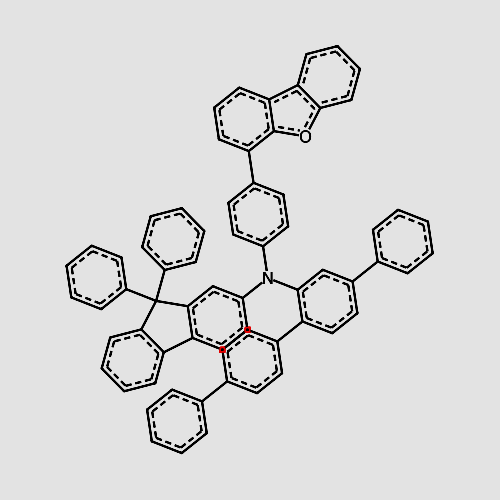 c1ccc(-c2ccc(-c3ccc(-c4ccccc4)cc3N(c3ccc(-c4cccc5c4oc4ccccc45)cc3)c3ccc4c(c3)C(c3ccccc3)(c3ccccc3)c3ccccc3-4)cc2)cc1